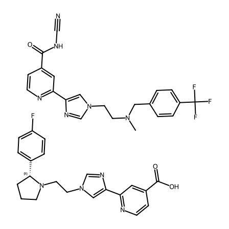 CN(CCn1cnc(-c2cc(C(=O)NC#N)ccn2)c1)Cc1ccc(C(F)(F)F)cc1.O=C(O)c1ccnc(-c2cn(CCN3CCC[C@@H]3c3ccc(F)cc3)cn2)c1